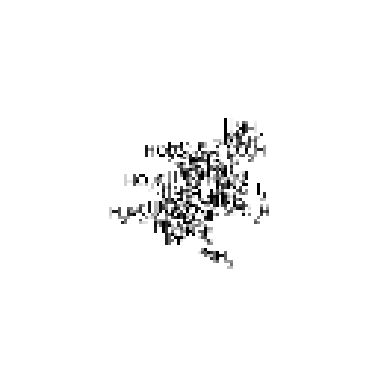 CC[C@H](C)[C@H](NC(=O)[C@H](CC(=O)O)NC(=O)[C@H](C)NC(=O)[C@@H](N)CCC(=O)O)C(=O)N[C@@H](CCCCN)C(=O)N[C@H](C(=O)N[C@@H](CCCCN)C(=O)N[C@@H](CCC(=O)O)C(=O)N[C@@H](CC(C)C)C(=O)N[C@@H](CCC(=O)O)C(=O)N[C@@H](CCCCN)C(=O)N[C@@H](CCCNC(=N)N)C(=O)O)C(C)C